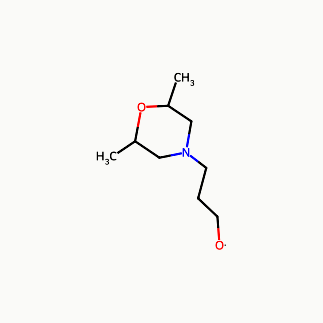 CC1CN(CCC[O])CC(C)O1